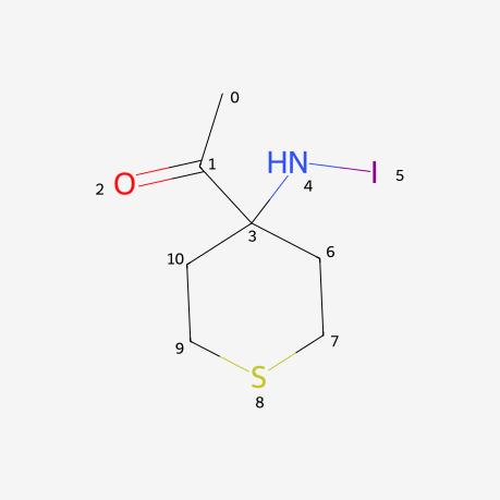 CC(=O)C1(NI)CCSCC1